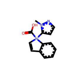 Cn1nccc1[N+]1(C(=O)O)C=Cc2ccccc21